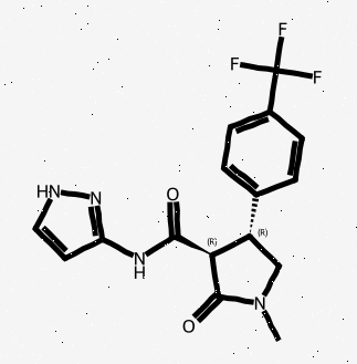 CN1C[C@@H](c2ccc(C(F)(F)F)cc2)[C@H](C(=O)Nc2cc[nH]n2)C1=O